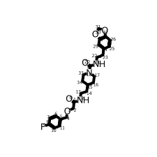 O=C(COCc1ccc(F)cc1)NCCC1CCN(C(=O)NCCc2ccc3c(c2)OCO3)CC1